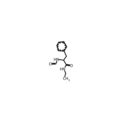 CCNC(=O)C(Cc1ccccc1)NC=O